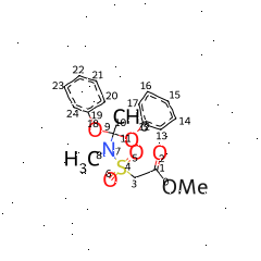 COC(=O)CS(=O)(=O)N(C)C(C)(Oc1ccccc1)Oc1ccccc1